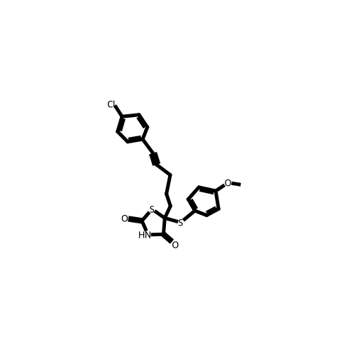 COc1ccc(SC2(CCCC#Cc3ccc(Cl)cc3)SC(=O)NC2=O)cc1